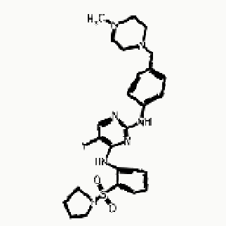 CN1CCN(Cc2ccc(Nc3ncc(I)c(Nc4ccccc4S(=O)(=O)N4CCCC4)n3)cc2)CC1